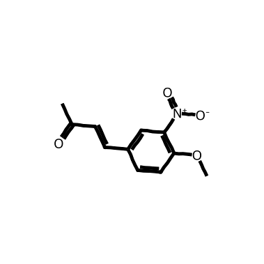 COc1ccc(/C=C/C(C)=O)cc1[N+](=O)[O-]